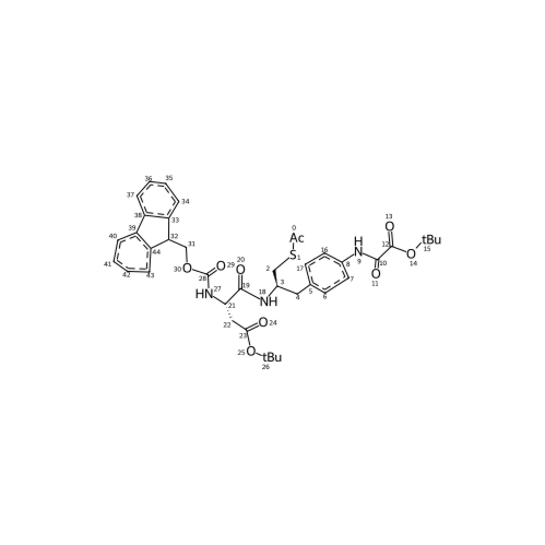 CC(=O)SC[C@@H](Cc1ccc(NC(=O)C(=O)OC(C)(C)C)cc1)NC(=O)[C@H](CC(=O)OC(C)(C)C)NC(=O)OCC1c2ccccc2-c2ccccc21